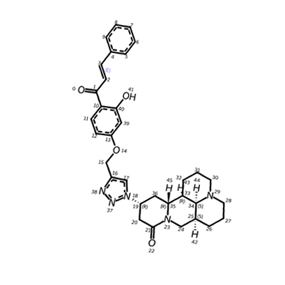 O=C(/C=C/c1ccccc1)c1ccc(OCc2cn([C@H]3CC(=O)N4C[C@@H]5CCCN6CCC[C@@H]([C@H]56)[C@H]4C3)nn2)cc1O